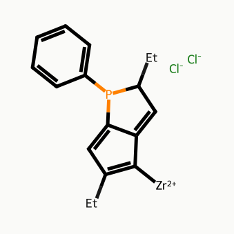 CCC1=[C]([Zr+2])C2=CC(CC)P(c3ccccc3)C2=C1.[Cl-].[Cl-]